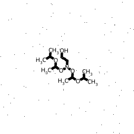 CC(C)OC(C)ON(CCO)OC(C)OC(C)C